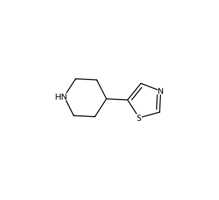 c1ncc(C2CCNCC2)s1